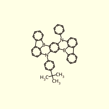 CC(C)(C)c1ccc(N2c3cc4c(cc3B3c5ccccc5-c5cccc2c53)N(c2ccccc2)c2cccc3c2B4c2ccccc2-3)cc1